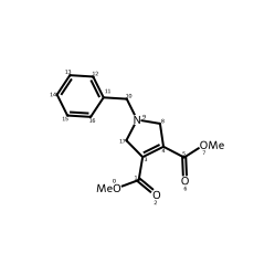 COC(=O)C1=C(C(=O)OC)CN(Cc2ccccc2)C1